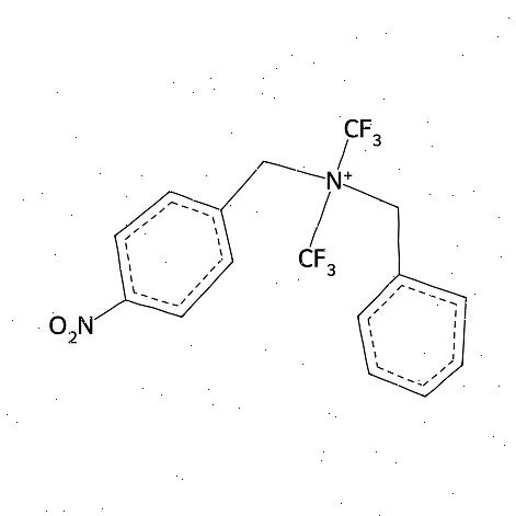 O=[N+]([O-])c1ccc(C[N+](Cc2ccccc2)(C(F)(F)F)C(F)(F)F)cc1